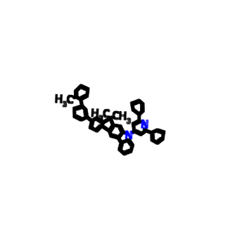 Cc1ccccc1-c1cccc(-c2ccc3c(c2)C(C)(C)c2cc4c(cc2-3)c2ccccc2n4-c2cc(-c3ccccc3)nc(C3C=CC=CC3)c2)c1